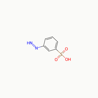 N=Nc1cccc(S(=O)(=O)O)c1